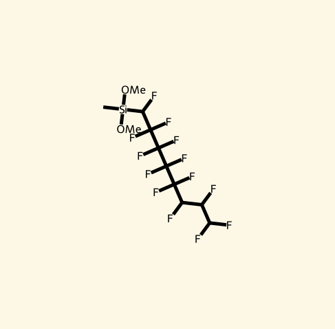 CO[Si](C)(OC)C(F)C(F)(F)C(F)(F)C(F)(F)C(F)(F)C(F)C(F)C(F)F